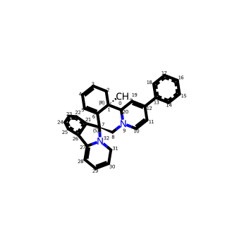 C[C@@]12CC=CC=C1[C@@]1(CN3C=CC(c4ccccc4)=CC32)c2ccccc2C2=CC=CCN21